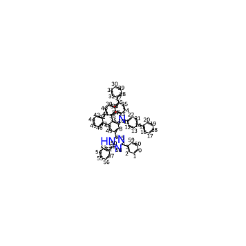 c1ccc(C2=NC(c3cc(N(c4ccc(-c5ccccc5)cc4)c4ccc(-c5ccccc5)cc4)c4c5ccccc5c5ccccc5c4c3)NC(c3ccccc3)=N2)cc1